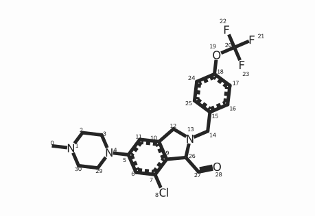 CN1CCN(c2cc(Cl)c3c(c2)CN(Cc2ccc(OC(F)(F)F)cc2)C3C=O)CC1